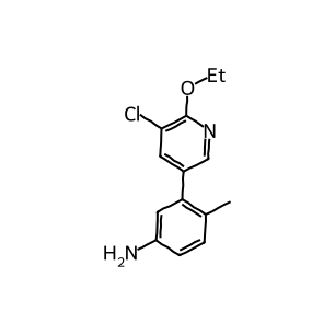 CCOc1ncc(-c2cc(N)ccc2C)cc1Cl